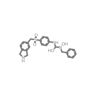 O=S(=O)(Cc1ccc2c(c1)CNC2)c1ccc(NC(O)N(O)Cc2ccccc2)cc1